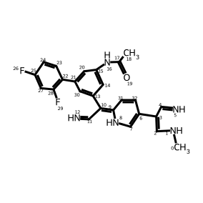 CN/C=C(\C=N)C1=CN/C(=C(\C=N)c2cc(NC(C)=O)cc(-c3ccc(F)cc3F)c2)C=C1